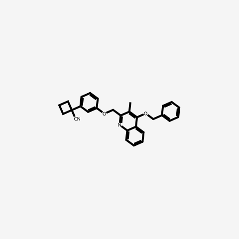 Cc1c(COc2cccc(C3(C#N)CCC3)c2)nc2ccccc2c1OCc1ccccc1